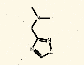 CN(C)Cc1ncon1